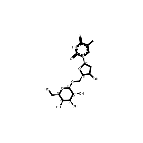 Cc1cn([C@H]2CC(O)[C@@H](CO[C@@H]3O[C@H](CO)[C@H](O)[C@H](O)[C@H]3O)O2)c(=O)[nH]c1=O